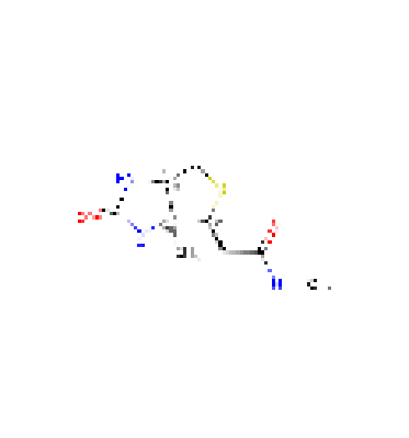 CNC(=O)C[C@@H]1SC[C@@H]2NC(=O)N[C@@]21C